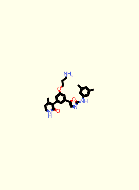 Cc1cc(C)cc(Nc2ncc(-c3cc(OCCCN)cc(-c4c(C)cc[nH]c4=O)c3)o2)c1